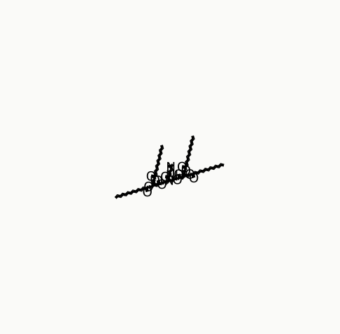 CCCCCCCCCCCCC(=O)OCC(COC(=O)CCCCCCCCCCCC)CC(=O)OCCN(CCOC(=O)CC(COC(=O)CCCCCCCCCCCC)COC(=O)CCCCCCCCCCCC)C(=O)NCCN(C)C